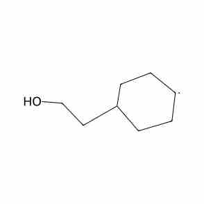 OCCC1CC[CH]CC1